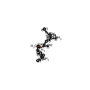 Cc1c(Nc2nc3ccccc3s2)nnc2c1CCCN2c1ccc(-c2cnn(CC34CC5(C)CC(CCCN(CCC(=O)O)C(=O)OCc6ccc(NC(=O)[C@H](CCCNC(N)=O)NC(=O)[C@@H](NC(=O)CCOCCN7C(=O)C=CC7=O)C(C)C)cc6)(C3)C[C@@](C)(C5)C4)c2C)c(C(=O)O)n1